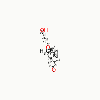 C[C@]12CCC3=C4CCC(=O)C=C4CC[C@H]3[C@@H]1CC[C@@H]2OCCCCCCO